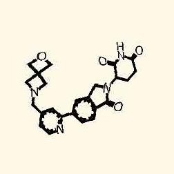 O=C1CCC(N2Cc3cc(-c4cc(CN5CC6(COC6)C5)ccn4)ccc3C2=O)C(=O)N1